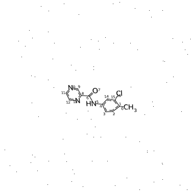 Cc1ccc(NC(=O)c2cnccn2)cc1Cl